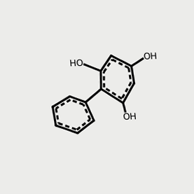 Oc1cc(O)c(-c2ccccc2)c(O)c1